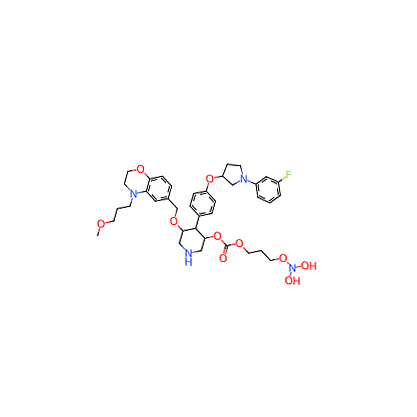 COCCCN1CCOc2ccc(COC3CNCC(OC(=O)OCCCON(O)O)C3c3ccc(OC4CCN(c5cccc(F)c5)C4)cc3)cc21